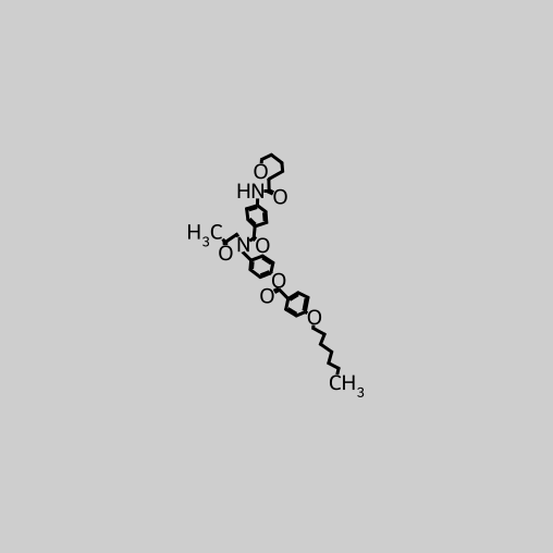 CCCCCCCOc1ccc(C(=O)Oc2ccc(CN(CC(C)=O)C(=O)c3ccc(NC(=O)C4CCCCO4)cc3)cc2)cc1